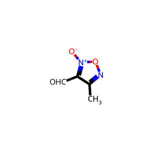 Cc1no[n+]([O-])c1C=O